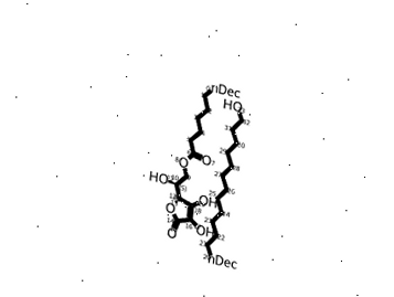 CCCCCCCCCCCCCCCC(=O)OC[C@H](O)[C@H]1OC(=O)C(O)=C1O.CCCCCCCCCCCCCCCCCCCCCCO